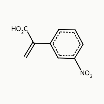 C=C(C(=O)O)c1cccc([N+](=O)[O-])c1